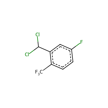 Fc1ccc(C(F)(F)F)c(C(Cl)Cl)c1